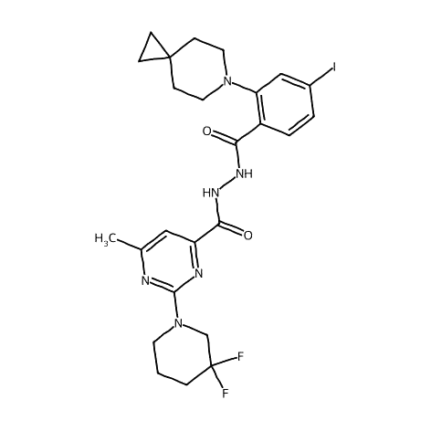 Cc1cc(C(=O)NNC(=O)c2ccc(I)cc2N2CCC3(CC2)CC3)nc(N2CCCC(F)(F)C2)n1